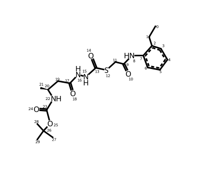 CCc1ccccc1NC(=O)CSC(=O)NNC(=O)C[C@H](C)NC(=O)OC(C)(C)C